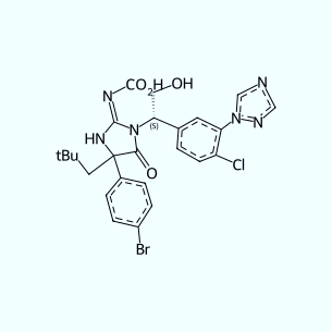 CC(C)(C)CC1(c2ccc(Br)cc2)NC(=NC(=O)O)N([C@H](CO)c2ccc(Cl)c(-n3cncn3)c2)C1=O